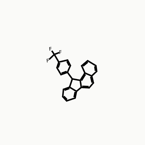 FC(F)(F)c1ccc(C2c3ccccc3-c3ccc4ccccc4c32)cc1